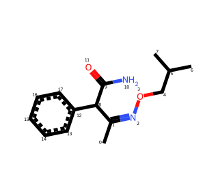 C/C(=N/OCC(C)C)C(C(N)=O)c1ccccc1